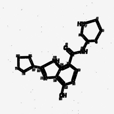 O=C(NC1CCCNC1)c1ccc(O)c2nc(C3CCCC3)[nH]c12